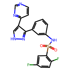 O=S(=O)(Nc1cccc(-c2n[nH]cc2-c2ccncn2)c1)c1cc(F)ccc1F